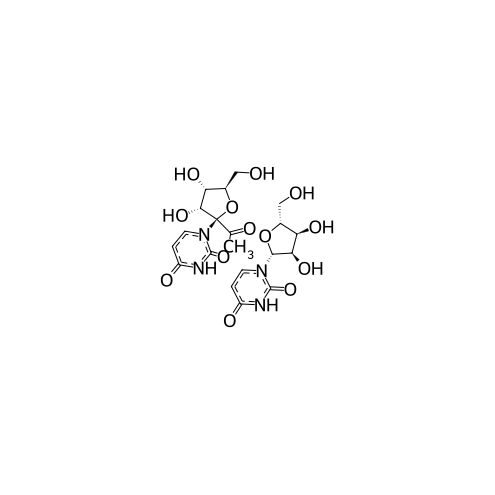 CC(=O)[C@@]1(n2ccc(=O)[nH]c2=O)O[C@H](CO)[C@@H](O)[C@H]1O.O=c1ccn([C@@H]2O[C@H](CO)[C@@H](O)[C@H]2O)c(=O)[nH]1